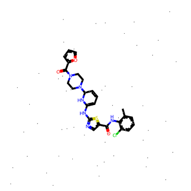 Cc1cccc(Cl)c1NC(=O)c1cnc(NC2=CC=CC(N3CCN(C(=O)c4ccco4)CC3)N2)s1